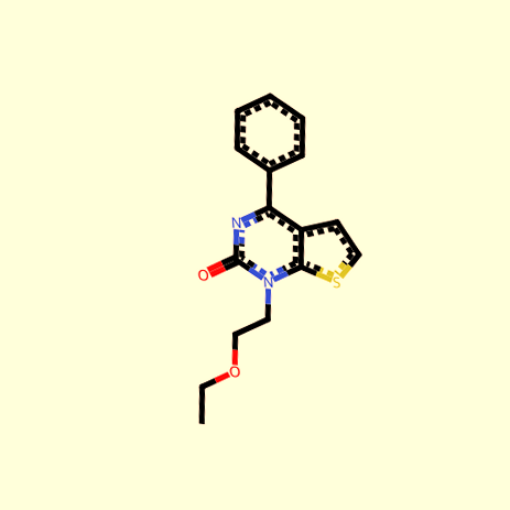 CCOCCn1c(=O)nc(-c2ccccc2)c2ccsc21